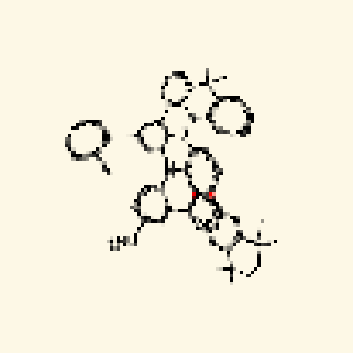 Cc1ccccc1-c1cc2c3c(c1)N(c1ccc(C(C)(C)C)cc1-c1ccccc1)c1c(ccc4c1sc1cc5c(cc14)C(C)(C)CCC5(C)C)B3N1c3ccccc3C(C)(C)c3cccc-2c31